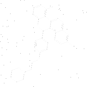 Cl.Oc1ccc2c3c(ccc2c1)-c1c(F)cccc1OC3c1ccc(OCCN2CCCCC2)cc1